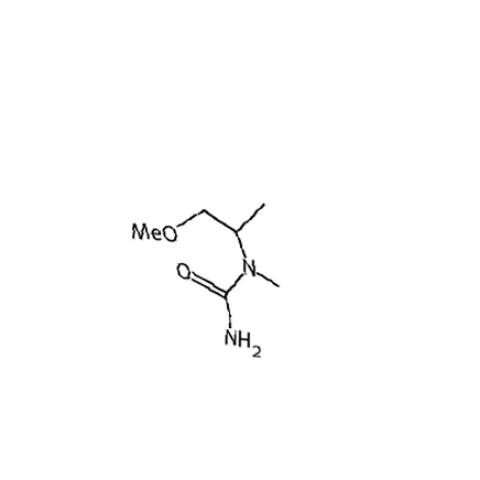 COCC(C)N(C)C(N)=O